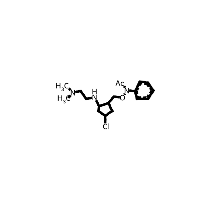 CC(=O)N(OCC1CC(Cl)CC1NCCN(C)C)c1ccccc1